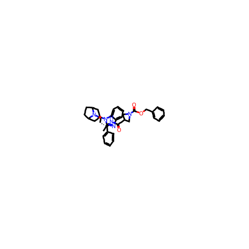 Cc1nc2ccccc2n1C1CC2CCC(C1)N2CC[C@H](NC(=O)C1CN(C(=O)OCc2ccccc2)C1)c1ccccc1